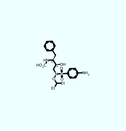 CCC(CC)ON(C[C@H](O)[C@H](Cc1ccccc1)NC(=O)O)S(=O)(=O)c1ccc(N)cc1